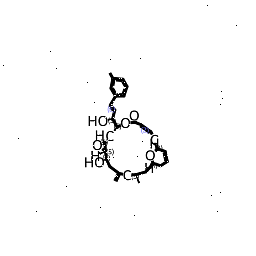 C=C1C[C@H](C)C[C@@H]2CC=C[C@@H](C/C=C\C(=O)O[C@H]([C@@H](O)/C=C/c3cccc(C)c3)C[C@@H]3O[C@H]3[C@@H](O)C1)O2